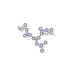 CC1(C)c2ccccc2-c2ccc(-n3c4ccccc4c4cc(-c5ccc6c(c5)c5cc(-c7ccc8c(c7)c7ccccc7n8-c7ccc8c(c7)C(C)(C)c7ccccc7-8)ccc5n6-c5cccc(-c6nc(-c7ccccc7)cc(-c7ccccc7)n6)c5)ccc43)cc21